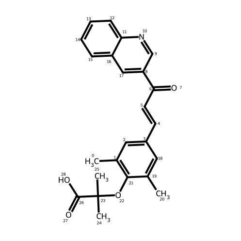 Cc1cc(C=CC(=O)c2cnc3ccccc3c2)cc(C)c1OC(C)(C)C(=O)O